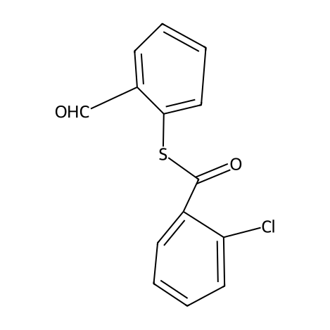 O=Cc1ccccc1SC(=O)c1ccccc1Cl